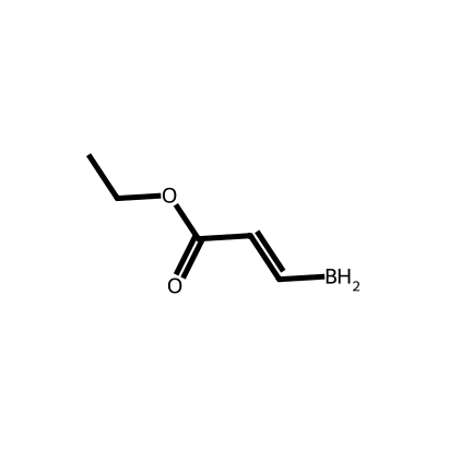 B/C=C/C(=O)OCC